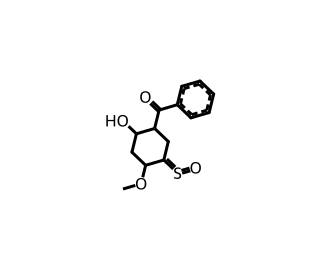 COC1CC(O)C(C(=O)c2ccccc2)CC1=S=O